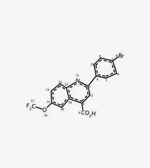 O=C(O)c1cc(-c2ccc(Br)cc2)nc2ccc(OC(F)(F)F)cc12